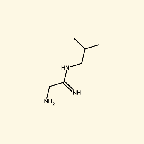 CC(C)CNC(=N)CN